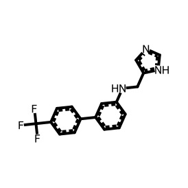 FC(F)(F)c1ccc(-c2cccc(NCc3cnc[nH]3)c2)cc1